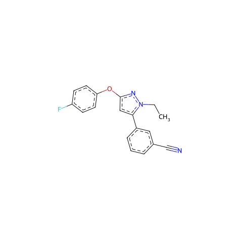 CCn1nc(Oc2ccc(F)cc2)cc1-c1cccc(C#N)c1